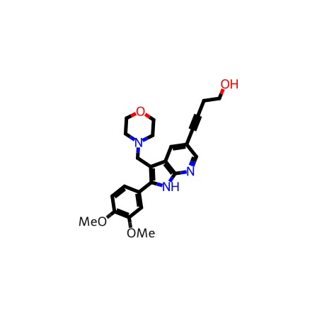 COc1ccc(-c2[nH]c3ncc(C#CCCO)cc3c2CN2CCOCC2)cc1OC